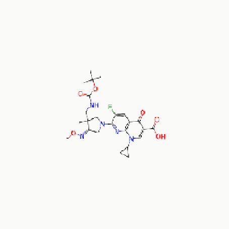 CON=C1CN(c2nc3c(cc2F)c(=O)c(C(=O)O)cn3C2CC2)CC1(C)CNC(=O)OC(C)(C)C